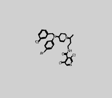 CC(CCNC(=O)c1c(Cl)cncc1Cl)N1CCC(N(Cc2cccc(Cl)c2)c2ccc(Br)cc2)CC1